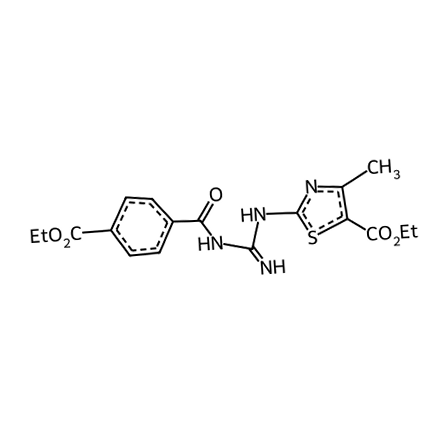 CCOC(=O)c1ccc(C(=O)NC(=N)Nc2nc(C)c(C(=O)OCC)s2)cc1